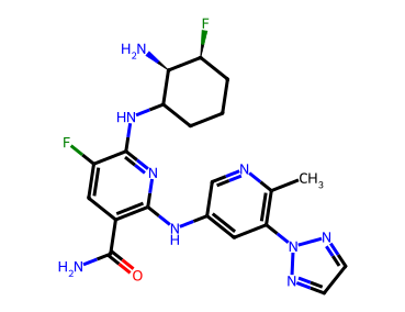 Cc1ncc(Nc2nc(NC3CCC[C@H](F)[C@@H]3N)c(F)cc2C(N)=O)cc1-n1nccn1